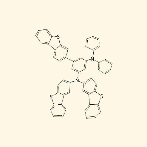 c1ccc(N(c2ccccc2)c2cc(-c3ccc4c(c3)sc3ccccc34)cc(N(c3ccc4sc5ccccc5c4c3)c3ccc4sc5ccccc5c4c3)c2)cc1